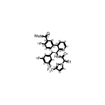 CCC(C(=O)N[C@@H](Cc1cc(F)cc(F)c1)c1ncccc1-c1ccc(F)c(C(=O)NC)c1)n1ccc(C(F)(F)F)n1